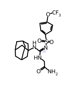 NC(=O)CN/C(=N/S(=O)(=O)c1ccc(OC(F)(F)F)cc1)NC12CC3CC(CC(C3)C1)C2